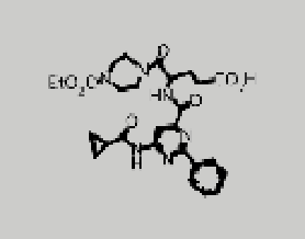 CCOC(=O)N1CCN(C(=O)C(CCC(=O)O)NC(=O)c2cc(NC(=O)C3CC3)nc(-c3ccccc3)n2)CC1